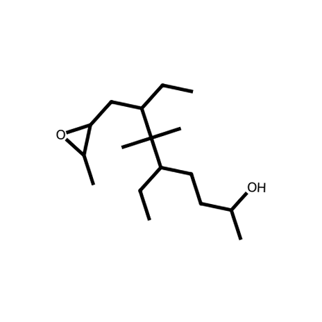 CCC(CCC(C)O)C(C)(C)C(CC)CC1OC1C